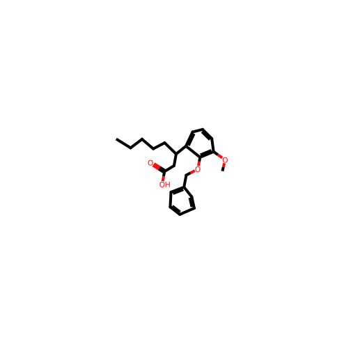 CCCCCC(CC(=O)O)c1cccc(OC)c1OCc1ccccc1